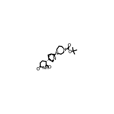 CC(C)(C)OC(=O)N1CCCN(c2ccc([C@H]3CCC(=O)NC3=O)cn2)CC1